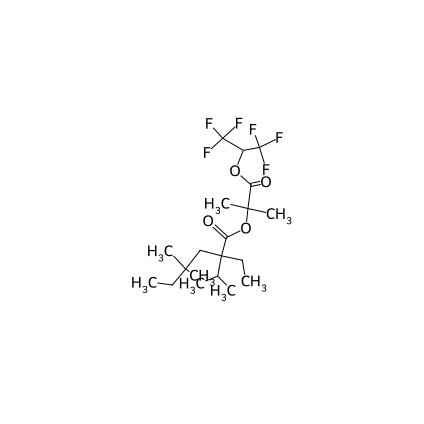 CCC(C)(C)CC(CC)(C(=O)OC(C)(C)C(=O)OC(C(F)(F)F)C(F)(F)F)C(C)C